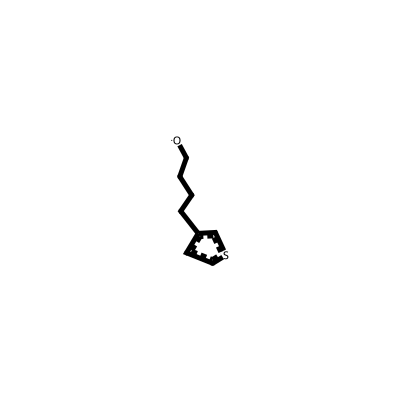 [O]CCCCc1ccsc1